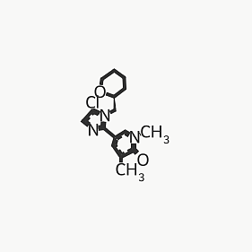 Cc1cc(-c2ncc(Cl)n2C[C@@H]2CCCCO2)cn(C)c1=O